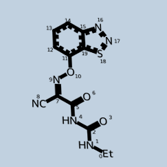 CCNC(=O)NC(=O)C(C#N)=NOc1cccc2nnsc12